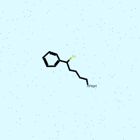 CCCCCCCCCCCC(S)c1ccccc1